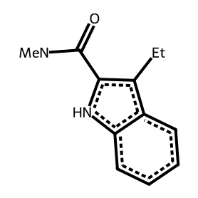 CCc1c(C(=O)NC)[nH]c2ccccc12